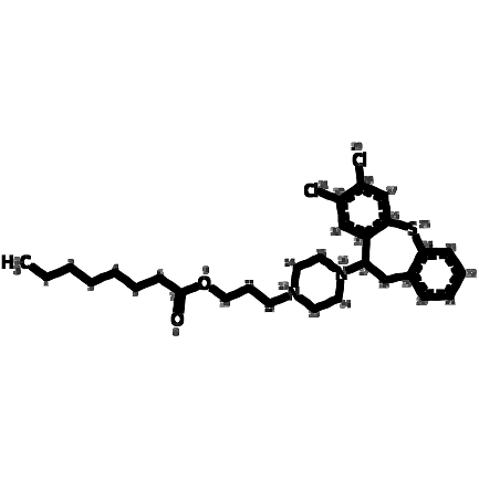 CCCCCCCC(=O)OCCCN1CCN(C2Cc3ccccc3Sc3cc(Cl)c(Cl)cc32)CC1